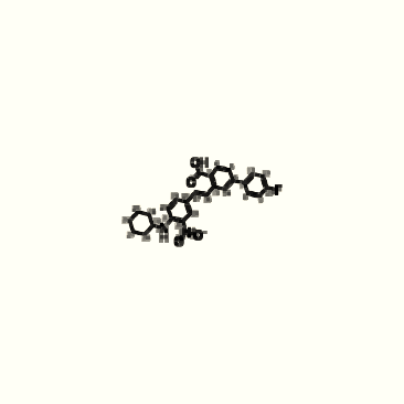 O=C(O)c1ccc(-c2ccc(F)cc2)cc1C=Cc1ccc(NC2CCCCC2)c([N+](=O)[O-])c1